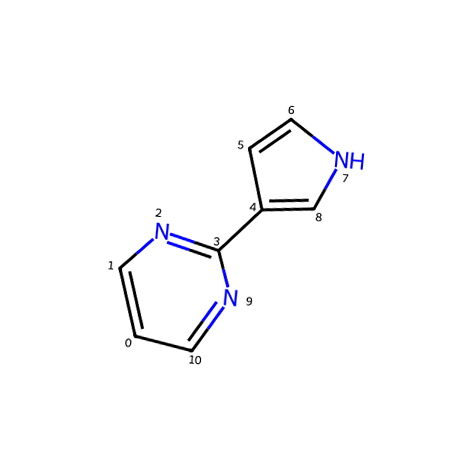 c1cnc(-c2cc[nH]c2)nc1